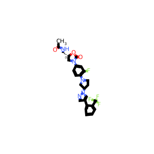 CC(=O)NC[C@H]1CN(c2ccc(N3CCC(n4cc(-c5ccccc5C(F)(F)F)cn4)C3)c(F)c2)C(=O)O1